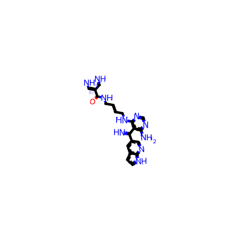 N=C/C(=C\N)C(=O)NCCCCNc1ncnc(N)c1C(=N)c1cnc2[nH]ccc2c1